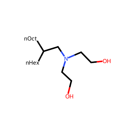 CCCCCCCCC(CCCCCC)CN(CCO)CCO